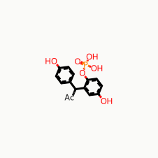 CC(=O)C(c1ccc(O)cc1)c1cc(O)ccc1OP(=O)(O)O